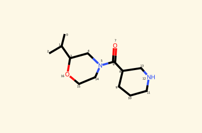 CC(C)C1CN(C(=O)C2CCCNC2)CCO1